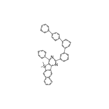 C[Si]1(C)c2cc3ccccc3cc2-c2nc(-c3cccc(-c4cccc(-c5ccc(-c6ccccc6)cc5)c4)c3)nc(-c3ccccc3)c21